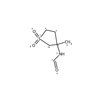 CC1(NC=O)CCS(=O)(=O)C1